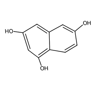 Oc1ccc2c(O)cc(O)cc2c1